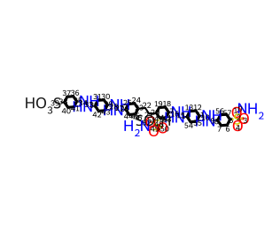 NOS(=O)(=O)c1ccc(NNc2ccc(NNc3ccc(CCc4ccc(NNc5ccc(NNc6ccc(S(=O)(=O)O)cc6)cc5)cc4S(=O)(=O)O)c(S(=O)(=O)ON)c3)cc2)cc1